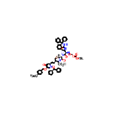 COc1ccc(COc2cn(OC(c3ccccc3)c3ccccc3)c(C=CC3=C(C(=O)O)N4C(=O)[C@@H](NC(=O)/C(=N\OCOC(=O)OC(C)(C)C)c5csc(NC(c6ccccc6)(c6ccccc6)c6ccccc6)n5)[C@H]4SC3)cc2=O)cc1